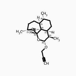 C#CCO[C@@H]1O[C@@H]2O[C@]3(C)CC[C@H]4[C@H](C)CC[C@@H]([C@H]1C)[C@@]24OO3